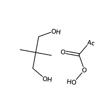 CC(=O)C(=O)OO.CC(C)(CO)CO